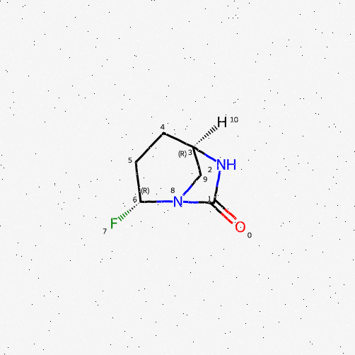 O=C1N[C@@H]2CC[C@@H](F)N1C2